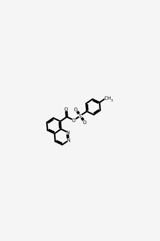 Cc1ccc(S(=O)(=O)OC(=O)c2cccc3ccnnc23)cc1